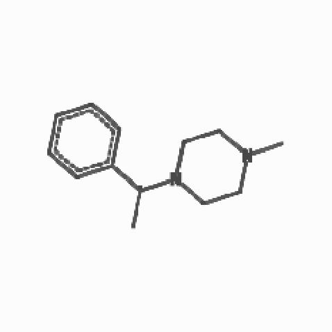 C[C](c1ccccc1)N1CCN(C)CC1